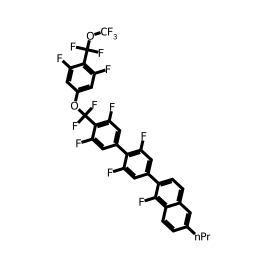 CCCc1ccc2c(F)c(-c3cc(F)c(-c4cc(F)c(C(F)(F)Oc5cc(F)c(C(F)(F)OC(F)(F)F)c(F)c5)c(F)c4)c(F)c3)ccc2c1